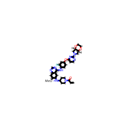 C=CC(=O)N1CCC(Nc2cc3c(Nc4ccc(Oc5ccnc(N6C[C@@H]7OCCO[C@@H]7C6)n5)cc4F)ncnc3cc2OC)CC1